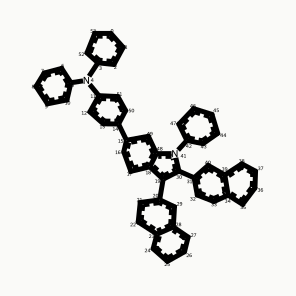 c1ccc(N(c2ccccc2)c2ccc(-c3ccc4c(-c5ccc6ccccc6c5)c(-c5ccc6ccccc6c5)n(-c5ccccc5)c4c3)cc2)cc1